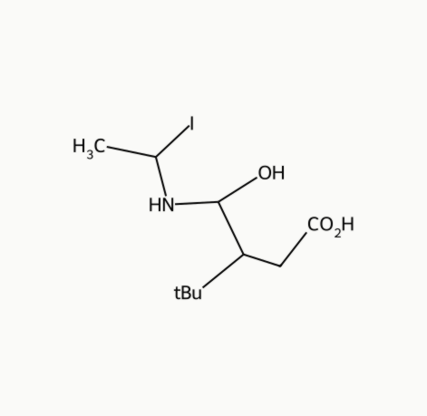 CC(I)NC(O)C(CC(=O)O)C(C)(C)C